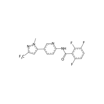 Cn1nc(C(F)(F)F)cc1-c1ccc(NC(=O)c2c(F)ccc(F)c2F)nc1